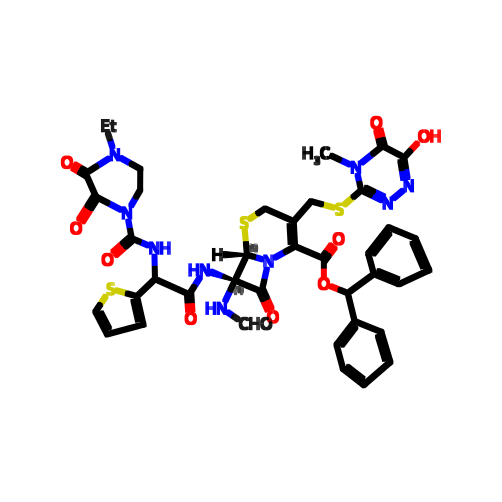 CCN1CCN(C(=O)NC(C(=O)N[C@]2(NC=O)C(=O)N3C(C(=O)OC(c4ccccc4)c4ccccc4)=C(CSc4nnc(O)c(=O)n4C)CS[C@H]32)c2cccs2)C(=O)C1=O